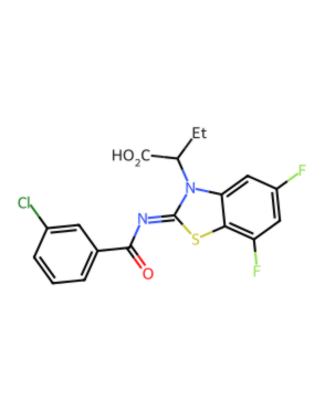 CCC(C(=O)O)n1c(=NC(=O)c2cccc(Cl)c2)sc2c(F)cc(F)cc21